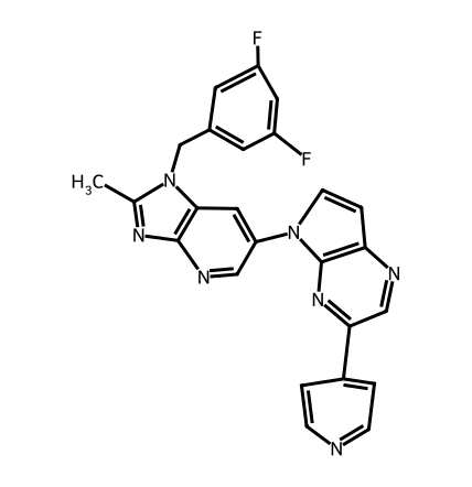 Cc1nc2ncc(-n3ccc4ncc(-c5ccncc5)nc43)cc2n1Cc1cc(F)cc(F)c1